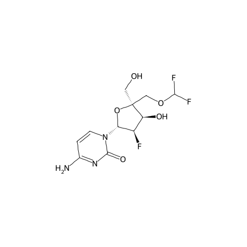 Nc1ccn([C@@H]2O[C@@](CO)(COC(F)F)[C@@H](O)[C@H]2F)c(=O)n1